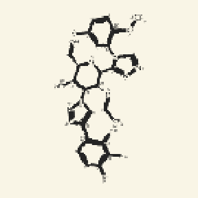 OC[C@H]1O[C@@H](c2nncn2-c2cc(Cl)ccc2OC(F)(F)F)[C@H](OCC(F)(F)F)[C@@H](n2cc(-c3ccc(Br)c(F)c3F)nn2)[C@H]1O